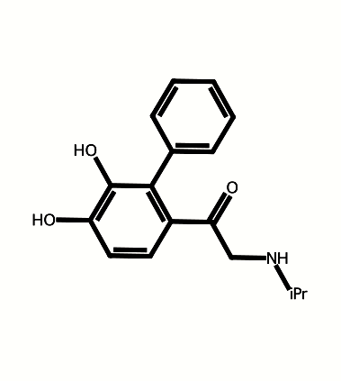 CC(C)NCC(=O)c1ccc(O)c(O)c1-c1ccccc1